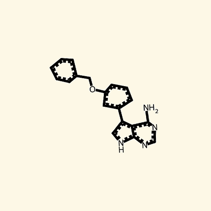 Nc1ncnc2[nH]cc(-c3cccc(OCc4ccccc4)c3)c12